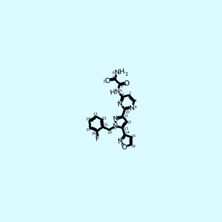 NC(=O)C(=O)Nc1ccnc(-c2cc(-c3ccon3)n(Cc3ccccc3F)n2)n1